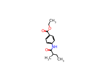 CCOC(=O)c1ccc(NC(=O)C(C)CC)cc1